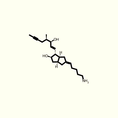 CC#CC[C@@H](C)[C@@H](O)/C=C/[C@@H]1[C@H]2CC(=CCCCCN)C[C@H]2C[C@H]1O